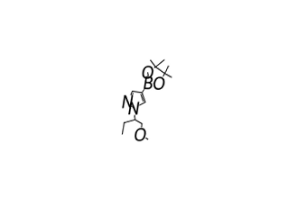 CCC(COC)n1cc(B2OC(C)(C)C(C)(C)O2)cn1